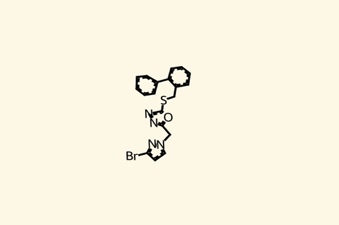 Brc1ccn(Cc2nnc(SCc3ccccc3-c3ccccc3)o2)n1